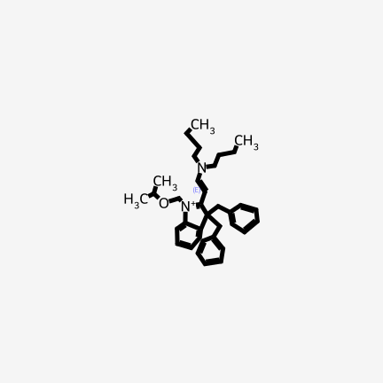 CCCCN(/C=C/C1=[N+](COC(C)C)c2ccccc2C1(Cc1ccccc1)Cc1ccccc1)CCCC